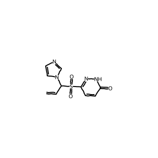 C=CC(n1ccnc1)S(=O)(=O)c1ccc(=O)[nH]n1